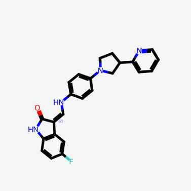 O=C1Nc2ccc(F)cc2/C1=C/Nc1ccc(N2CCC(c3ccccn3)C2)cc1